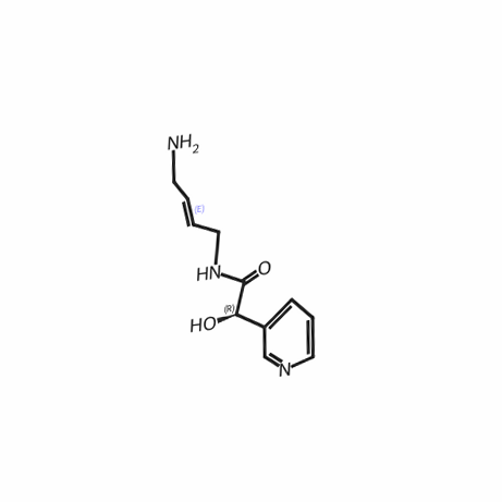 NC/C=C/CNC(=O)[C@H](O)c1cccnc1